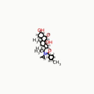 Cc1ccc(C(=O)N(C2CC2)C(C)C2CC[C@@]3(O)C4=CC(=O)C5CC(O)CCC5(C)C4CCC23C)cc1